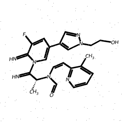 Cc1cccnc1/C=C\N(C=O)[C@H](C)C(=N)n1cc(-c2cnn(CCO)c2)cc(F)c1=N